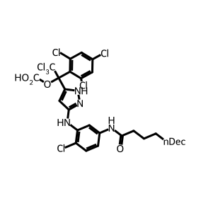 CCCCCCCCCCCCCC(=O)Nc1ccc(Cl)c(Nc2cc(C(OC(=O)O)(c3c(Cl)cc(Cl)cc3Cl)C(Cl)(Cl)Cl)[nH]n2)c1